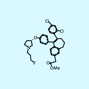 COC(=O)Cc1ccc2c(c1)CCCC(c1ccc(Cl)cc1Cl)=C2c1ccc(O[C@H]2CCN(CCCF)C2)cc1